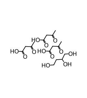 CC(=O)CC(=O)O.CC(=O)CC(=O)O.CC(=O)CC(=O)O.OCCC(O)CO